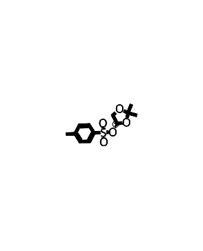 Cc1ccc(S(=O)(=O)O[C@H]2COC(C)(C)O2)cc1